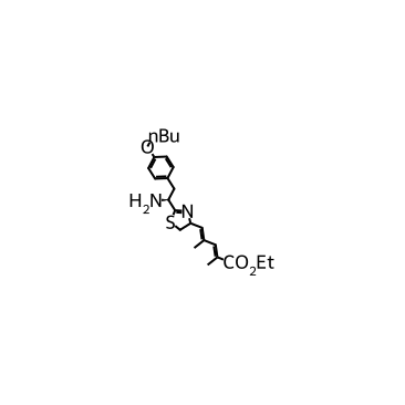 CCCCOc1ccc(C[C@H](N)C2=NC(/C=C(C)/C=C(\C)C(=O)OCC)CS2)cc1